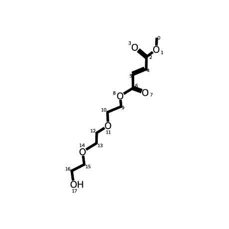 COC(=O)C=CC(=O)OCCOCCOCCO